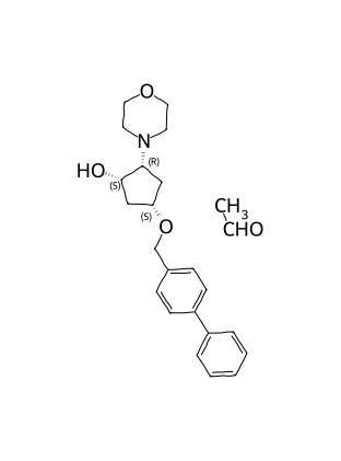 CC=O.O[C@H]1C[C@@H](OCc2ccc(-c3ccccc3)cc2)C[C@H]1N1CCOCC1